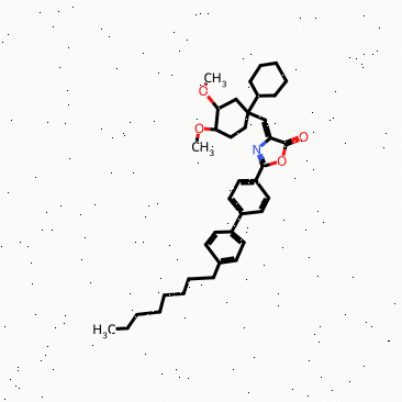 CCCCCCCCc1ccc(-c2ccc(C3=N/C(=C\C4(C5CCCCC5)CCC(OC)C(OC)C4)C(=O)O3)cc2)cc1